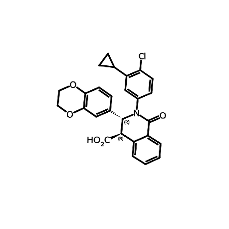 O=C(O)[C@@H]1c2ccccc2C(=O)N(c2ccc(Cl)c(C3CC3)c2)[C@H]1c1ccc2c(c1)OCCO2